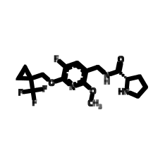 COc1nc(OCC2(C(F)(F)F)CC2)c(F)cc1CNC(=O)[C@@H]1CCCN1